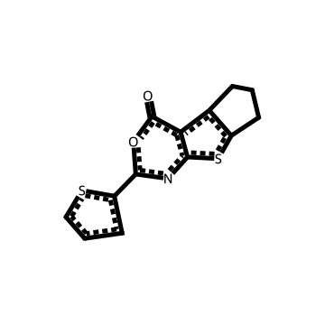 O=c1oc(-c2cccs2)nc2sc3c(c12)CCC3